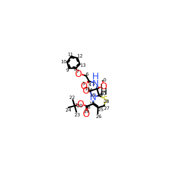 CO[C@@]1(NC(=O)COc2ccccc2)C(=O)N2C(C(=O)OC(C)(C)C)=C(C)CS[C@@H]21